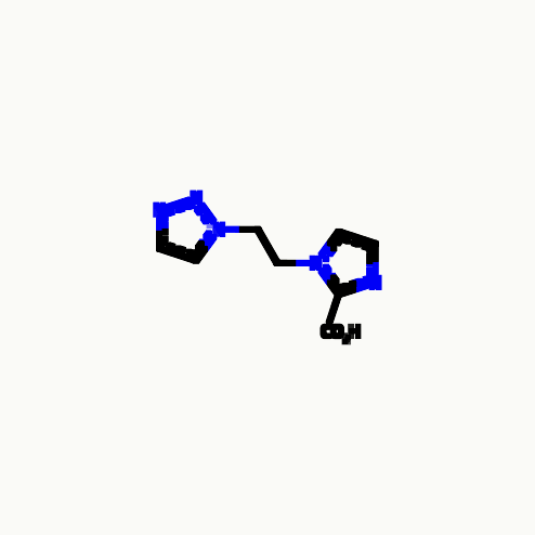 O=C(O)c1nccn1CCn1ccnn1